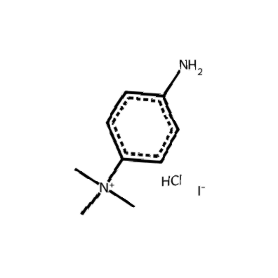 C[N+](C)(C)c1ccc(N)cc1.Cl.[I-]